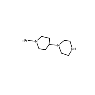 CCCN1CCC(N2CCNCC2)CC1